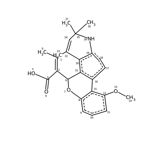 CC=C(C(=O)O)C1Oc2cccc(OC)c2-c2ccc3c(c21)C(C)=CC(C)(C)N3